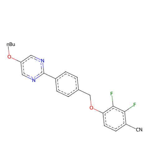 CCCCOc1cnc(-c2ccc(COc3ccc(C#N)c(F)c3F)cc2)nc1